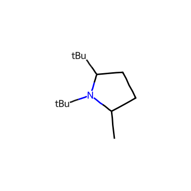 CC1CCC(C(C)(C)C)N1C(C)(C)C